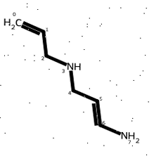 C=CCNCC=CN